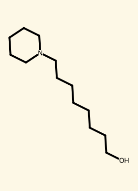 OCCCCCCCCN1CCCCC1